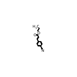 CCCOC(=O)C=Cc1ccc(C#N)cc1